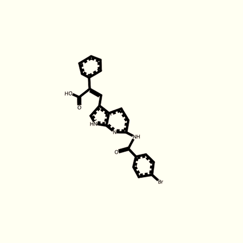 O=C(O)C(=Cc1c[nH]c2nc(NC(=O)c3ccc(Br)cc3)ccc12)c1ccccc1